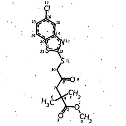 COC(=O)C(C)(C)CC(=O)CSc1nc2cc(Cl)ccc2s1